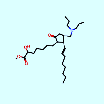 CCCCCCC=C[C@H]1[C@H](CN(CCC)CCC)CC(=O)[C@@H]1CCCCCC(O)C(=O)OC